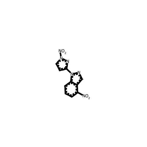 O=[N+]([O-])c1cccc2c1[c]nn2-c1ccn([N+](=O)[O-])n1